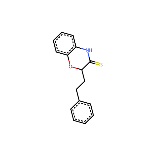 S=C1Nc2ccccc2OC1CCc1ccccc1